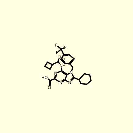 CC(Nc1nc(C(=O)O)nc2nc(C3CCCCC3)n(Cc3ccc(C(F)(F)F)cc3)c12)C1CCC1